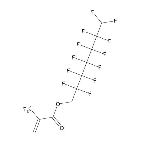 C=C(C(=O)OCC(F)(F)C(F)(F)C(F)(F)C(F)(F)C(F)(F)C(F)F)C(F)(F)F